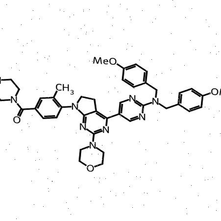 CCN1CCN(C(=O)c2ccc(N3CCc4c(-c5cnc(N(Cc6ccc(OC)cc6)Cc6ccc(OC)cc6)nc5)nc(N5CCOCC5)nc43)c(C)c2)CC1